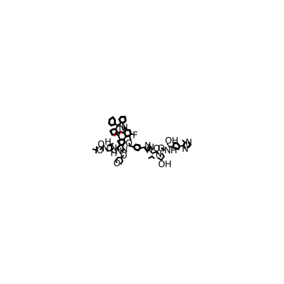 Cc1nccnc1-c1ccc([C@H](CO)NC(=O)[C@@H]2C[C@@H](O)CN2C(=O)[C@H](C(C)C)n2cc(-c3ccc(COc4c(-c5c(C)c(F)cc6nn(C(c7ccccc7)(c7ccccc7)c7ccccc7)cc56)c(C5CC5)cc5c(N6C[C@@H]7C[C@H]6CN7C(=O)OC(C)(C)C)nc(OC6CCOCC6)nc45)cc3)nn2)cc1